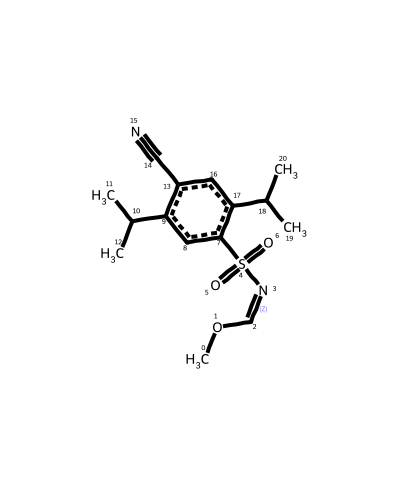 CO/C=N\S(=O)(=O)c1cc(C(C)C)c(C#N)cc1C(C)C